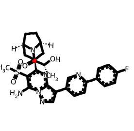 C[C@@H](O)C(=O)N1[C@@H]2CC[C@H]1C[C@@H](c1nc3c(-c4ccc(-c5ccc(F)cc5)nc4)cnn3c(N)c1S(C)(=O)=O)C2